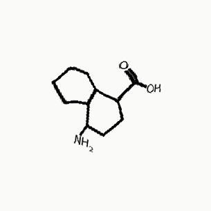 NC1CCC(C(=O)O)C2CCCCC12